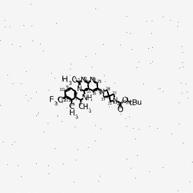 Cc1nc(NC(C)c2cccc(C(F)(F)F)c2C)c2cc(N3CC4(CN(C(=O)OC(C)(C)C)C4)C3)cnc2n1